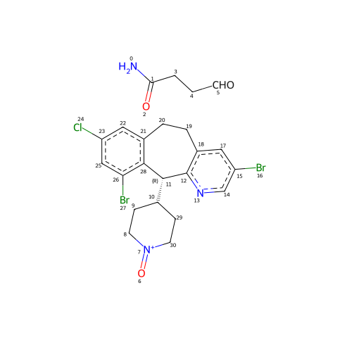 NC(=O)CCC=O.O=[N+]1CCC([C@H]2c3ncc(Br)cc3CCc3cc(Cl)cc(Br)c32)CC1